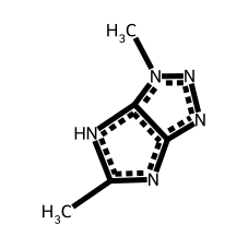 Cc1nc2nnn(C)c2[nH]1